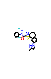 Cc1ccn(-c2ccc3c(c2)-c2sc(C(=O)Nc4c(F)cccc4F)nc2CCC3)n1